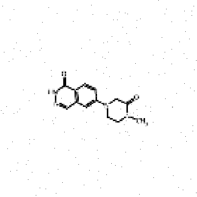 CN1CCN(c2ccc3c(=O)[nH]ncc3c2)CC1=O